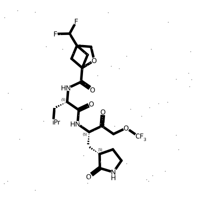 CC(C)C[C@H](NC(=O)C12CC(C(F)F)(CO1)C2)C(=O)N[C@@H](C[C@@H]1CCNC1=O)C(=O)COC(F)(F)F